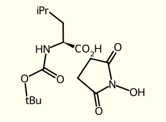 CC(C)C[C@H](NC(=O)OC(C)(C)C)C(=O)O.O=C1CCC(=O)N1O